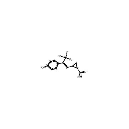 O=C(O)[C@@H]1C[C@@H]1/C=C(/c1ccc(Cl)cc1)C(F)(F)F